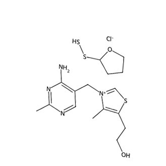 Cc1ncc(C[n+]2csc(CCO)c2C)c(N)n1.SSC1CCCO1.[Cl-]